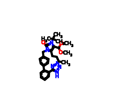 CCCCc1c(C(OC)OC)n(C(C)(C)C)c(=O)n1Cc1ccc(-c2ccccc2-c2nnn[nH]2)cc1